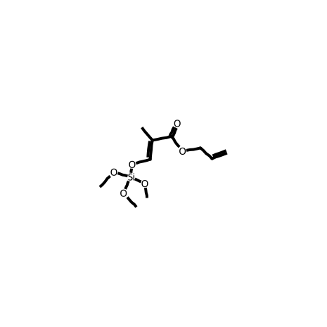 C=CCOC(=O)C(C)=CO[Si](OC)(OC)OC